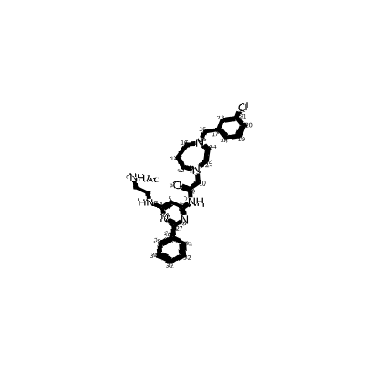 CC(=O)NCCNc1cc(NC(=O)CN2CCCN(Cc3cccc(Cl)c3)CC2)nc(-c2ccccc2)n1